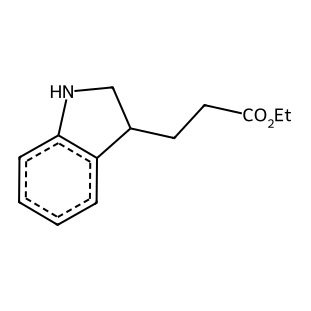 CCOC(=O)CCC1CNc2ccccc21